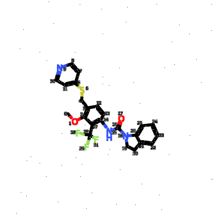 COc1c(CSc2ccncc2)ccc(NC(=O)N2CCc3ccccc32)c1C(F)(F)F